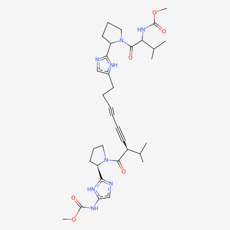 COC(=O)Nc1cnc([C@H]2CCCN2C(=O)[C@@H](C#CC#CCCc2cnc(C3CCCN3C(=O)C(NC(=O)OC)C(C)C)[nH]2)C(C)C)[nH]1